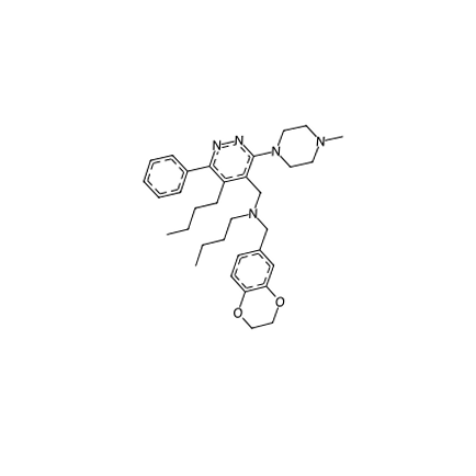 CCCCc1c(-c2ccccc2)nnc(N2CCN(C)CC2)c1CN(CCCC)Cc1ccc2c(c1)OCCO2